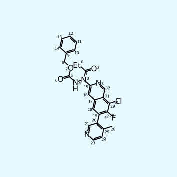 CCC(=O)N(NC(=O)OCc1ccccc1)c1cc2cc(-c3cnc[c]c3C)c(F)c(Cl)c2cn1